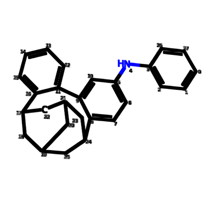 c1ccc(Nc2ccc3c(c2)-c2ccccc2C2CC4CC(C2)CC3C4)cc1